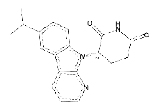 CC(C)c1ccc2c(c1)c1cccnc1n2[C@H]1CCC(=O)NC1=O